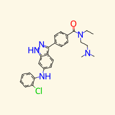 CCN(CCN(C)C)C(=O)c1ccc(-c2n[nH]c3cc(Nc4ccccc4Cl)ccc23)cc1